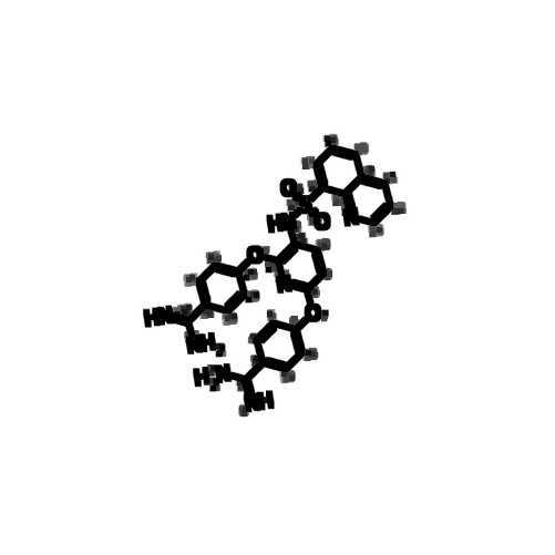 N=C(N)c1ccc(Oc2ccc(NS(=O)(=O)c3cccc4cccnc34)c(Oc3ccc(C(=N)N)cc3)n2)cc1